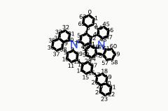 c1ccc(-c2cc(N(c3cccc(-c4ccc(-c5ccc6ccccc6c5)cc4)c3)c3cccc4ccccc34)ccc2-c2ccccc2-n2c3ccccc3c3ccccc32)cc1